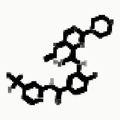 C=C/N=C1/C=NC(N2CCOCC2)=N/C1=C(/N)Nc1cc(C(=O)Nc2cc(C(F)(F)F)ccn2)ccc1F